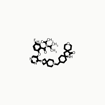 CC(C)N(C(=O)c1cc(F)ccc1Oc1cncnc1N1CC2(CCN(CC3CCC4(CC3)CC3(CCOCC3)C(=O)N4)CC2)C1)C(C)C